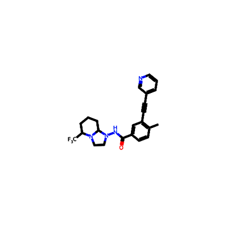 Cc1ccc(C(=O)NN2CCN3C2CCCC3C(F)(F)F)cc1C#Cc1cccnc1